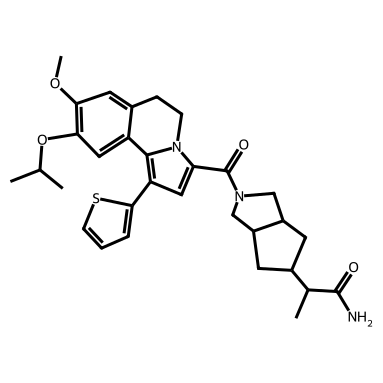 COc1cc2c(cc1OC(C)C)-c1c(-c3cccs3)cc(C(=O)N3CC4CC(C(C)C(N)=O)CC4C3)n1CC2